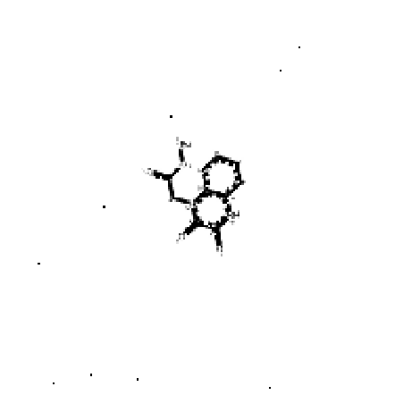 CC(C)(C)OC(=O)Cn1c(=O)c(=O)[nH]c2ccccc21